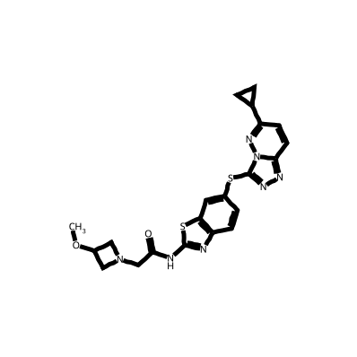 COC1CN(CC(=O)Nc2nc3ccc(Sc4nnc5ccc(C6CC6)nn45)cc3s2)C1